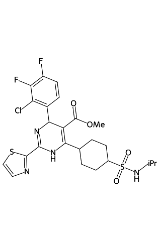 COC(=O)C1=C(C2CCC(S(=O)(=O)NC(C)C)CC2)NC(c2nccs2)=NC1c1ccc(F)c(F)c1Cl